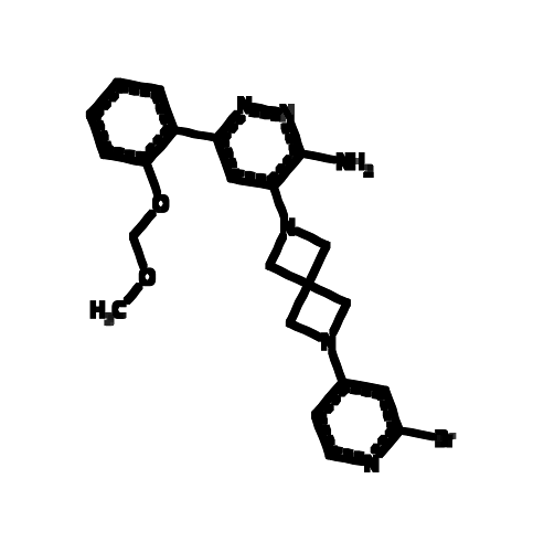 COCOc1ccccc1-c1cc(N2CC3(CN(c4ccnc(Br)c4)C3)C2)c(N)nn1